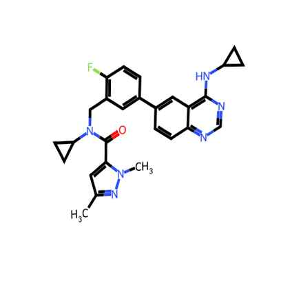 Cc1cc(C(=O)N(Cc2cc(-c3ccc4ncnc(NC5CC5)c4c3)ccc2F)C2CC2)n(C)n1